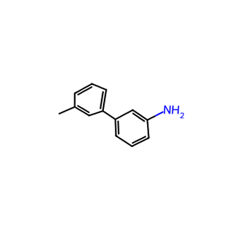 Cc1cccc(-c2cccc(N)c2)c1